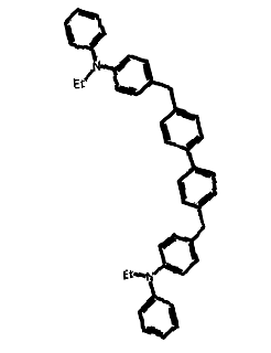 CCN(c1ccccc1)c1ccc(Cc2ccc(-c3ccc(Cc4ccc(N(CC)c5ccccc5)cc4)cc3)cc2)cc1